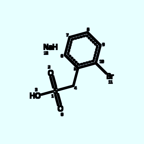 O=S(=O)(O)Cc1ccccc1Br.[NaH]